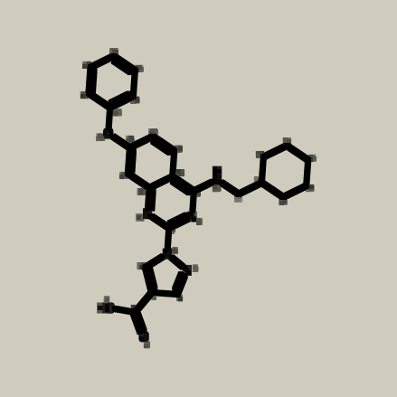 O=C(O)c1cnn(-c2nc(NCC3CCCCC3)c3ccc(Oc4ccccc4)cc3n2)c1